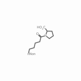 CCCCCCCCCCCCCC(=O)N1CCCC1C(=O)O